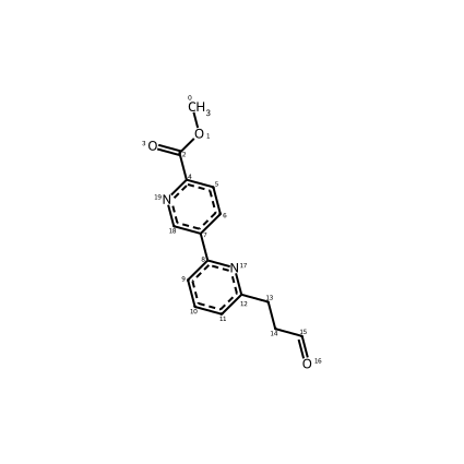 COC(=O)c1ccc(-c2cccc(CCC=O)n2)cn1